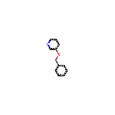 [c]1cccc(COc2cccnc2)c1